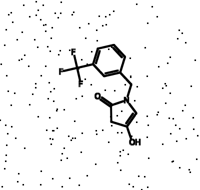 O=C1CC(O)=CN1Cc1cccc(C(F)(F)F)c1